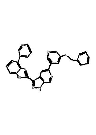 c1ccc(COc2cncc(-c3cc4c(-c5nc6c(-c7cccnc7)cccc6[nH]5)n[nH]c4cn3)c2)cc1